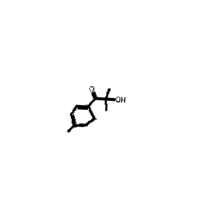 CC1=CC=C(C(=O)C(C)(C)O)CC1